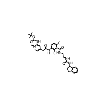 C=N/C(=C\C(=C/C)CC(=O)Nc1ccc(Cl)c(C(=O)NCCNC(=O)N[C@@H]2CCc3ccccc32)c1Cl)NC(=O)OC(C)(C)C